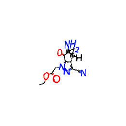 CCOC(=O)Cn1nc(C#N)c2c1C(=O)[C@]1(N)C[C@H]21